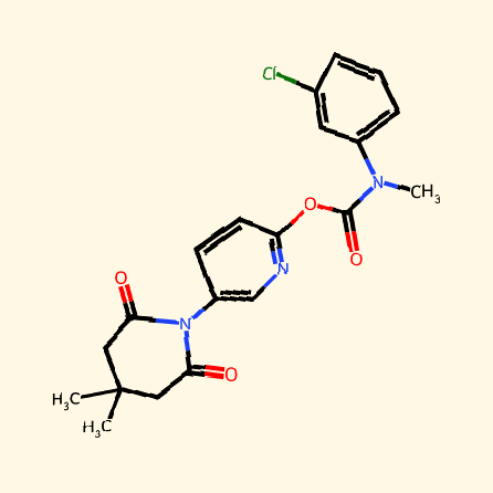 CN(C(=O)Oc1ccc(N2C(=O)CC(C)(C)CC2=O)cn1)c1cccc(Cl)c1